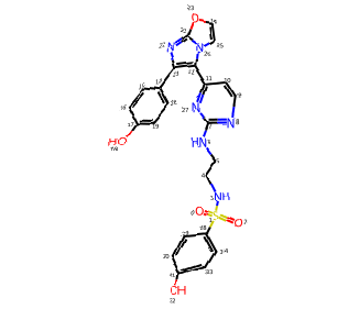 O=S(=O)(NCCNc1nccc(-c2c(-c3ccc(O)cc3)nc3occn23)n1)c1ccc(O)cc1